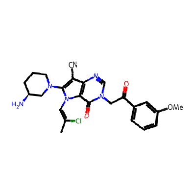 COc1cccc(C(=O)Cn2cnc3c(C#N)c(N4CCC[C@H](N)C4)n(/C=C(/C)Cl)c3c2=O)c1